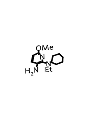 CCN(c1nc(OC)ccc1N)C1CCCCC1